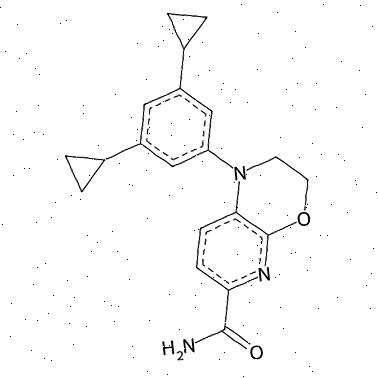 NC(=O)c1ccc2c(n1)OCCN2c1cc(C2CC2)cc(C2CC2)c1